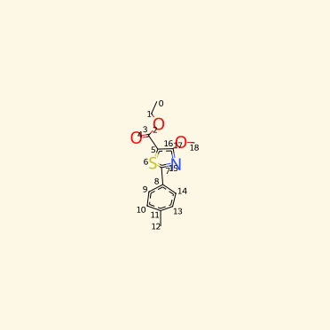 CCOC(=O)c1sc(-c2ccc(C)cc2)nc1OC